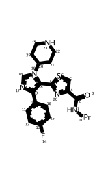 CC(C)NC(=O)c1csc(-c2c(-c3ccc(F)cc3)ncn2C2CCNCC2)n1